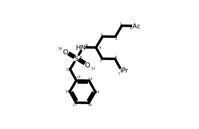 CC(=O)CCCC(CCC(C)C)NS(=O)(=O)Cc1ccccc1